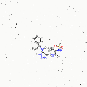 Cc1nc(-c2nnn(C)c2N(C(=O)O)C(c2ccccc2)C(F)(F)F)ccc1NS(C)(=O)=O